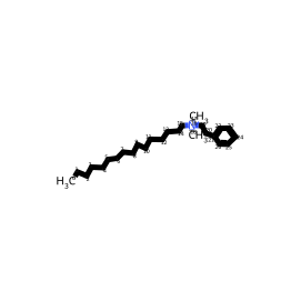 CCCCCCCCCCCCCCCC[N+](C)(C)CCc1ccccc1